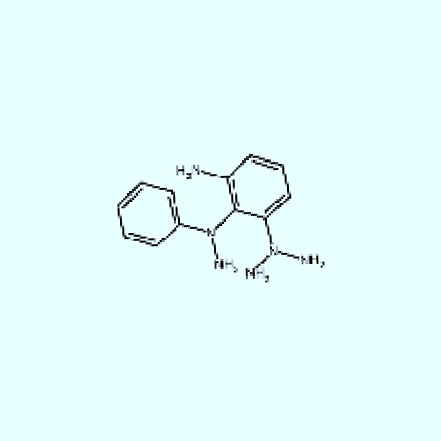 Nc1cccc(N(N)N)c1N(N)c1ccccc1